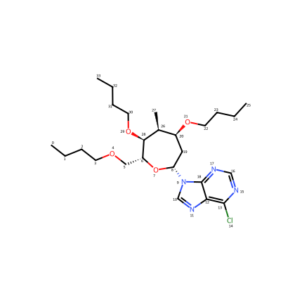 CCCCOC[C@H]1O[C@@H](n2cnc3c(Cl)ncnc32)C[C@H](OCCCC)[C@H](C)[C@@H]1OCCCC